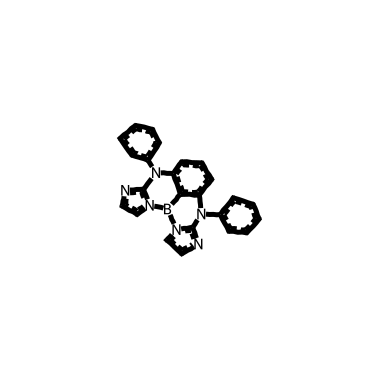 c1ccc(N2c3cccc4c3B(n3ccnc32)n2ccnc2N4c2ccccc2)cc1